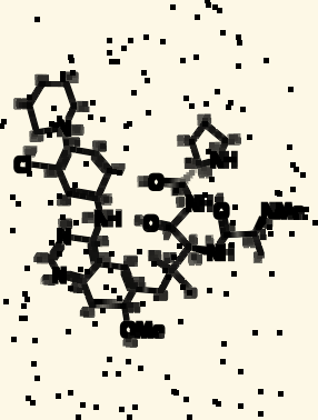 CN[C@@H](C)C(=O)N[C@H](C(=O)NC(=O)[C@@H]1CCCN1)C(C)(C)Cc1cc2c(Nc3ccc(N4CCCCC4)c(Cl)c3)ncnc2cc1OC